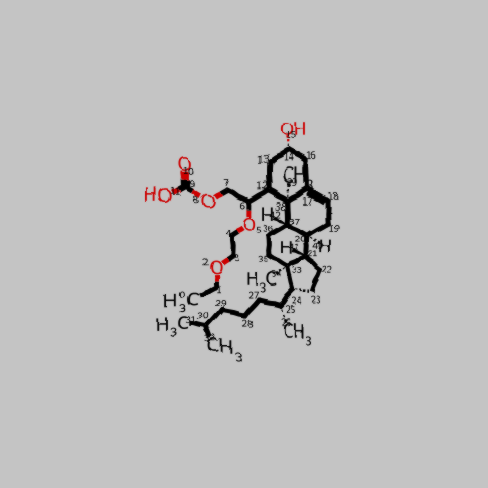 CCOCCOC(COC(=O)O)C1C[C@H](O)CC2=CC[C@H]3[C@@H]4CC[C@H]([C@H](C)CCCC(C)C)[C@@]4(C)CC[C@@H]3[C@]21C